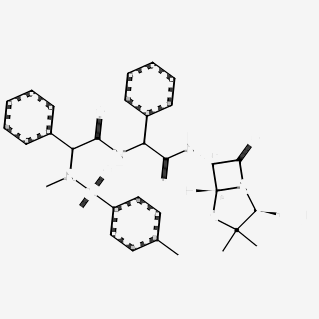 Cc1ccc(S(=O)(=O)N(C)C(C(=O)NC(C(=O)N[C@@H]2C(=O)N3[C@@H]2SC(C)(C)[C@@H]3C(=O)O)c2ccccc2)c2ccccc2)cc1